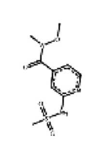 CON(C)C(=O)c1ccnc(NS(C)(=O)=O)c1